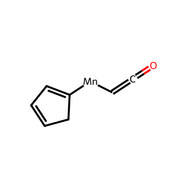 O=C=[CH][Mn][C]1=CC=CC1